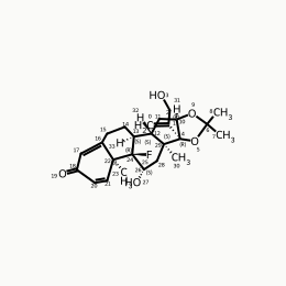 C=C(CO)[C@@]12OC(C)(C)O[C@@H]1C[C@H]1[C@@H]3CCC4=CC(=O)C=C[C@]4(C)[C@@]3(F)[C@@H](O)C[C@@]12C